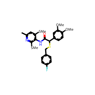 COc1ccc(C(SCc2ccc(F)cc2)C(=O)Nc2c(SC)cc(C)nc2SC)cc1OC